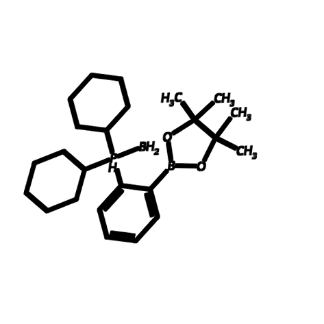 B[PH](c1ccccc1B1OC(C)(C)C(C)(C)O1)(C1CCCCC1)C1CCCCC1